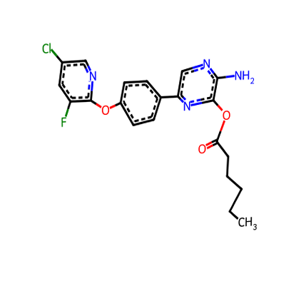 CCCCCC(=O)Oc1nc(-c2ccc(Oc3ncc(Cl)cc3F)cc2)cnc1N